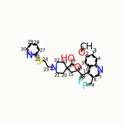 COc1ccc2ncc(CF)c([C@@H](F)CCC3(C(=O)O)CCN(CCSc4ccccn4)CC3)c2c1